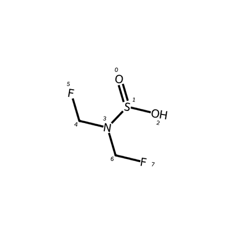 O=S(O)N(CF)CF